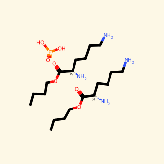 CCCCOC(=O)[C@@H](N)CCCCN.CCCCOC(=O)[C@@H](N)CCCCN.O=[PH](O)O